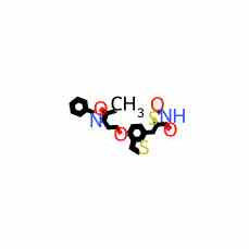 CCc1oc(-c2ccccc2)nc1CCOc1ccc(CC2SC(=O)NC2=O)c2sccc12